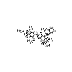 COc1cc(S(=O)(=O)CCO)c(C)cc1/N=N/c1cc(S(=O)(=O)O)c(N)c(/N=N/c2ccccc2C)c1N